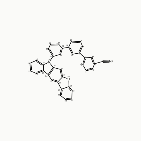 N#Cc1ccnc(-c2cccc(-c3cccc(-n4c5ccccc5c5cc6c(cc54)oc4ccccc46)c3)c2)c1